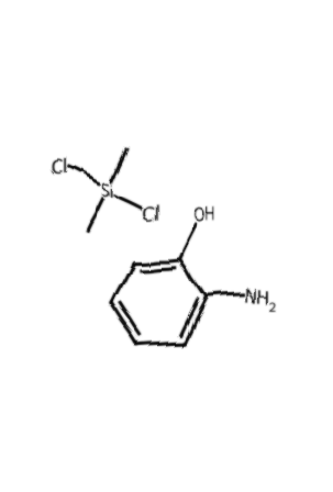 C[Si](C)(Cl)Cl.Nc1ccccc1O